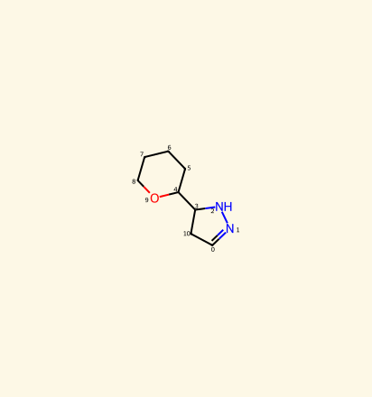 C1=NNC(C2CCCCO2)C1